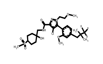 COCCn1nc(C(=O)NCC2(O)CCC(S(C)(=O)=O)CC2)c(Cl)c1-c1ccc(CC(C)(C)C(F)(F)F)cc1OC